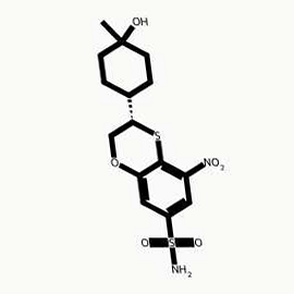 CC1(O)CCC([C@H]2COc3cc(S(N)(=O)=O)cc([N+](=O)[O-])c3S2)CC1